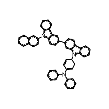 C1=CC(n2c3ccccc3c3ccc(-c4ccc5c(c4)c4ccccc4n5-c4ccc5ccccc5c4)cc32)CC=C1N(c1ccccc1)c1ccccc1